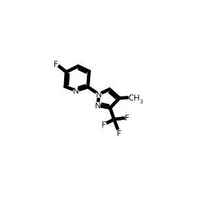 Cc1cn(-c2ccc(F)cn2)nc1C(F)(F)F